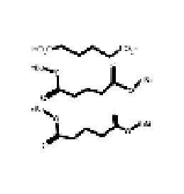 CCCCOC(=O)CCCC(=O)OCCCC.CCCCOC(=O)CCCC(=O)OCCCC.O=C(O)CCCCC(=O)O